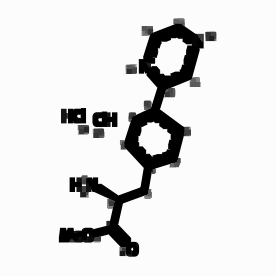 COC(=O)[C@@H](N)Cc1ccc(-c2cnccn2)cc1.Cl.Cl